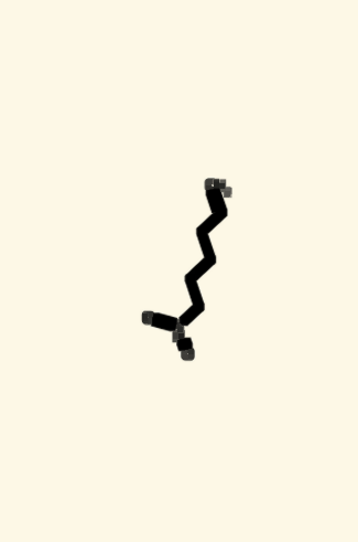 C=CCCCC[SH](=O)=O